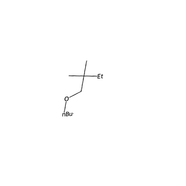 CCC[CH]OCC(C)(C)CC